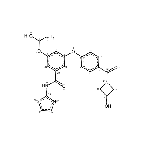 CC(C)Oc1cc(Oc2ccc(C(=O)N3CC(O)C3)cc2)cc(C(=O)Nc2nccs2)c1